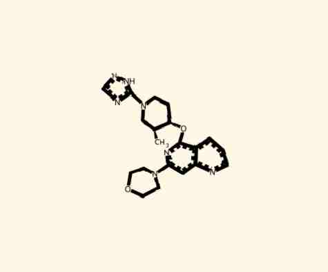 C[C@H]1CN(c2ncn[nH]2)CC[C@H]1Oc1nc(N2CCOCC2)cc2ncccc12